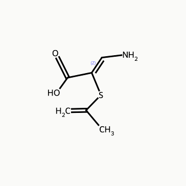 C=C(C)S/C(=C\N)C(=O)O